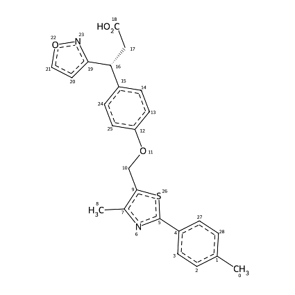 Cc1ccc(-c2nc(C)c(COc3ccc([C@@H](CC(=O)O)c4ccon4)cc3)s2)cc1